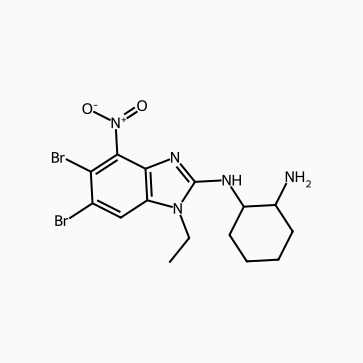 CCn1c(NC2CCCCC2N)nc2c([N+](=O)[O-])c(Br)c(Br)cc21